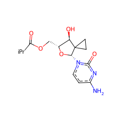 CC(C)C(=O)OC[C@H]1O[C@@H](n2ccc(N)nc2=O)C2(CC2)[C@@H]1O